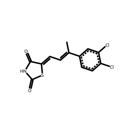 CC(=CC=C1SC(=O)NC1=O)c1ccc(Cl)c(Cl)c1